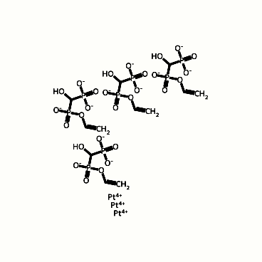 C=COP(=O)([O-])C(O)P(=O)([O-])[O-].C=COP(=O)([O-])C(O)P(=O)([O-])[O-].C=COP(=O)([O-])C(O)P(=O)([O-])[O-].C=COP(=O)([O-])C(O)P(=O)([O-])[O-].[Pt+4].[Pt+4].[Pt+4]